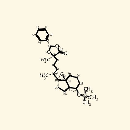 C[C@H](CCC[C@@]1(C)O[C@H](c2ccccc2)OC1=O)[C@H]1CCC2C(O[Si](C)(C)C)CCC[C@]21C